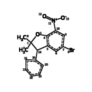 CC1(C)Oc2c(cc(Br)cc2[N+](=O)[O-])C1c1ccccc1